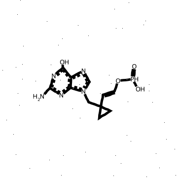 Nc1nc(O)c2ncn(CC3(C=CO[PH](=O)O)CC3)c2n1